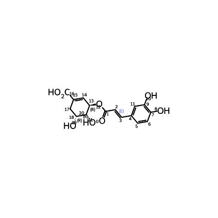 O=C(/C=C/c1ccc(O)c(O)c1)O[C@@H]1C=C(C(=O)O)C[C@@H](O)[C@H]1O